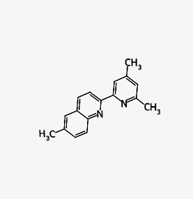 Cc1cc(C)nc(-c2ccc3cc(C)ccc3n2)c1